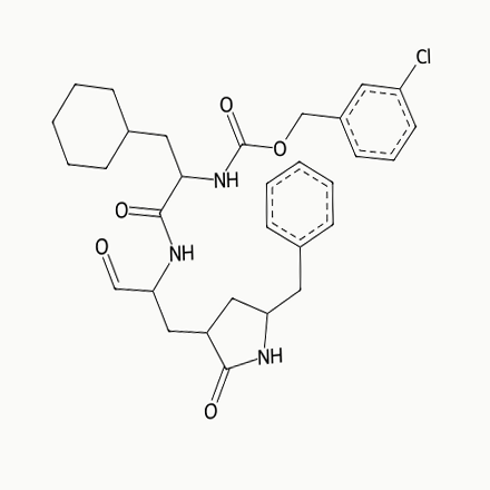 O=CC(CC1CC(Cc2ccccc2)NC1=O)NC(=O)C(CC1CCCCC1)NC(=O)OCc1cccc(Cl)c1